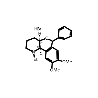 Br.CCN1CCC[C@H]2OC(c3ccccc3)c3cc(OC)c(OC)cc3[C@H]21